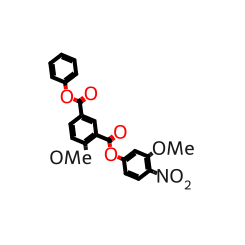 COc1ccc(C(=O)Oc2ccccc2)cc1C(=O)Oc1ccc([N+](=O)[O-])c(OC)c1